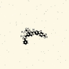 CC(C)Nc1nc(C(C)OC(=O)c2ccccc2)cc2cnc(Nc3ccc(N4CCN(C(=O)O)CC4=O)cn3)nc12